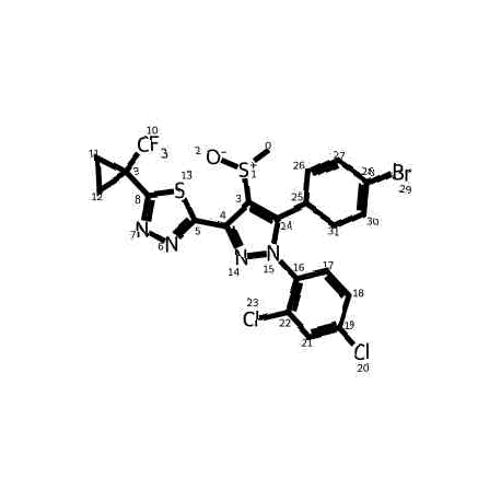 C[S+]([O-])c1c(-c2nnc(C3(C(F)(F)F)CC3)s2)nn(-c2ccc(Cl)cc2Cl)c1C1C=CC(Br)=CC1